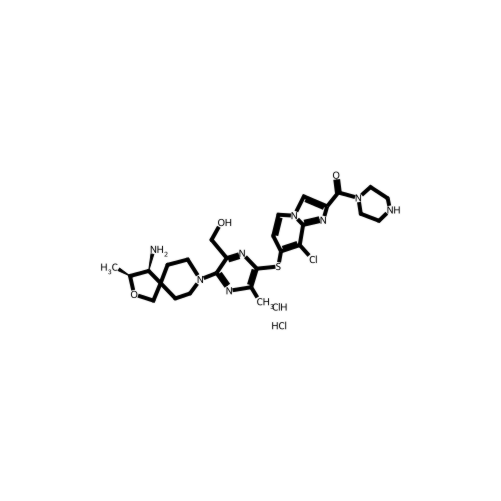 Cc1nc(N2CCC3(CC2)CO[C@@H](C)[C@H]3N)c(CO)nc1Sc1ccn2cc(C(=O)N3CCNCC3)nc2c1Cl.Cl.Cl